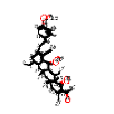 CCc1cc(CCc2ccc(OC)cc2)c(C)c2c1CC1(C)CC3(C)CC(C)=C(C(C)=O)C(=O)C3(C)C(C)=C1C2=O